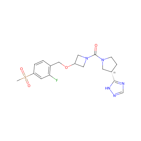 CS(=O)(=O)c1ccc(COC2CN(C(=O)N3CC[C@H](c4ncn[nH]4)C3)C2)c(F)c1